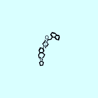 O=C(Cc1cccc2ccccc12)N1CCN(c2ccc3c(c2)CCN(C2CCCC2)CC3)CC1